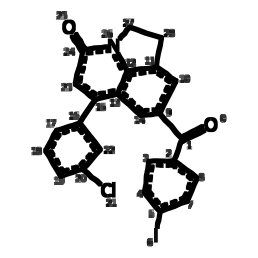 O=C(c1ccc(I)cc1)c1cc2c3c(c1)c(-c1cccc(Cl)c1)cc(=O)n3CC2